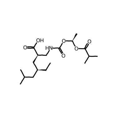 CC[C@@H](CC(C)C)C[C@H](CNC(=O)O[C@@H](C)OC(=O)C(C)C)C(=O)O